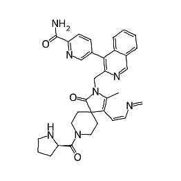 C=N/C=C\C1=C(C)N(Cc2ncc3ccccc3c2-c2ccc(C(N)=O)nc2)C(=O)C12CCN(C(=O)[C@H]1CCCN1)CC2